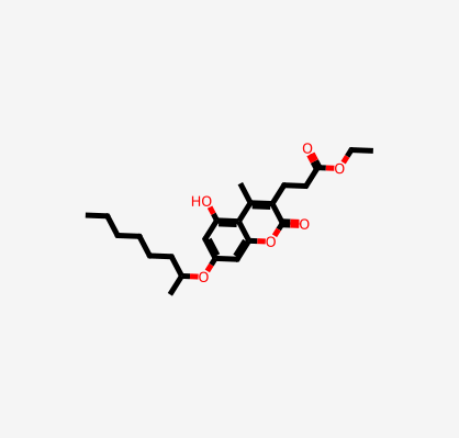 CCCCCCC(C)Oc1cc(O)c2c(C)c(CCC(=O)OCC)c(=O)oc2c1